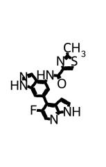 Cc1nc(C(=O)Nc2cc(-c3c(F)cnc4[nH]ccc34)cc3[nH]ncc23)cs1